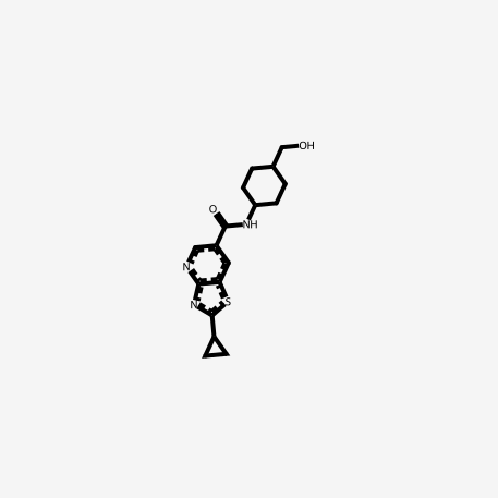 O=C(NC1CCC(CO)CC1)c1cnc2nc(C3CC3)sc2c1